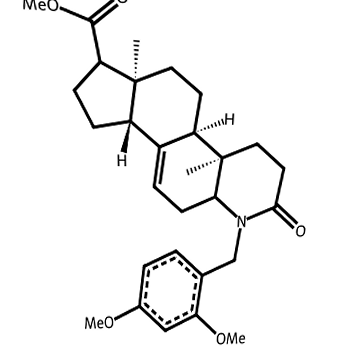 COC(=O)C1CC[C@H]2C3=CCC4N(Cc5ccc(OC)cc5OC)C(=O)CC[C@]4(C)[C@@H]3CC[C@]12C